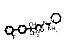 CC(C)(c1ccc(-c2ccccc2F)cc1)c1cc(/N=C(\N)N2CCCCCC2)on1